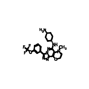 CN1CCOc2c1c(N[C@H]1CC[C@H](N)CC1)nn1c(-c3cccc(OC(F)(F)F)c3)nnc21